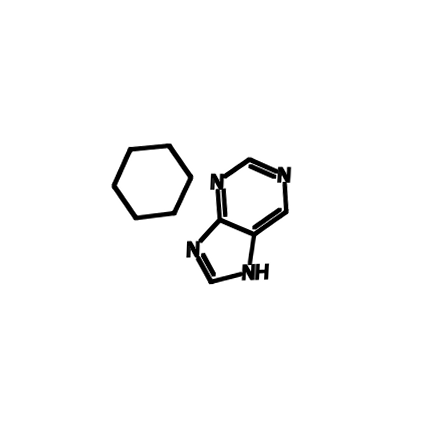 C1CCCCC1.c1ncc2[nH]cnc2n1